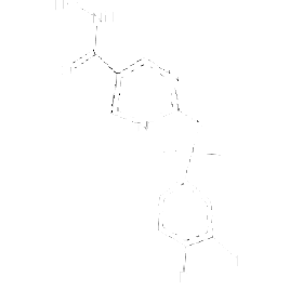 CC(C)(Nc1ncc(C(=O)NO)cn1)c1ccc(F)c(F)c1